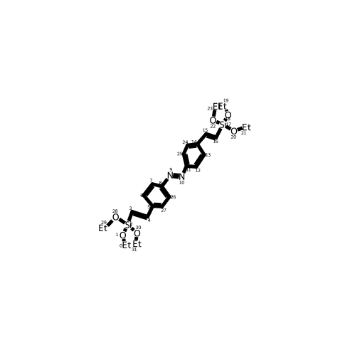 CCO[Si](/C=C/c1ccc(/N=N/c2ccc(/C=C/[Si](OCC)(OCC)OCC)cc2)cc1)(OCC)OCC